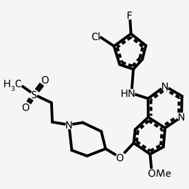 COc1cc2ncnc(Nc3ccc(F)c(Cl)c3)c2cc1OC1CCN(CCS(C)(=O)=O)CC1